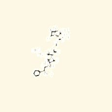 CC1(C)S[C@@H]2[C@H](I)C(=O)N2[C@H]1C(=O)OCOC(=O)[C@@H]1N2C(=O)[C@@H](NC(=O)C(N)c3ccccc3)[C@H]2SC1(C)C.Cl